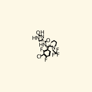 O=C1NC[C@@H](C(=O)N[C@H](c2ccc(F)c(Cl)c2F)[C@@H]2CCCCN2CC(F)(F)F)N1